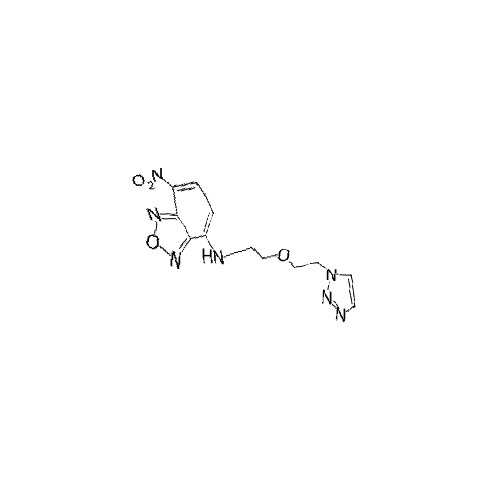 O=[N+]([O-])c1ccc(NCCOCCn2ccnn2)c2nonc12